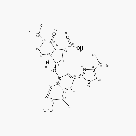 COc1ccc2c(O[C@@H]3C[C@@H](C(=O)O)N4C(=O)[C@@H](C(C)C)CC[C@H]34)cc(-c3nc(C(C)C)cs3)nc2c1C